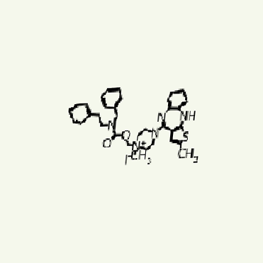 Cc1cc2c(s1)Nc1ccccc1N=C2N1CC[N+](C)(COC(=O)N(CCc2ccccc2)Cc2ccccc2)CC1.[I-]